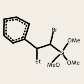 CCC(c1ccccc1)C(Br)[Si](OC)(OC)OC